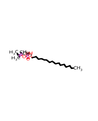 CCCCCCCCCCCCCCCCOP(=O)(O)OP(C)(C)(C)CC